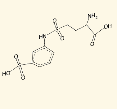 NC(CCS(=O)(=O)Nc1cccc(S(=O)(=O)O)c1)C(=O)O